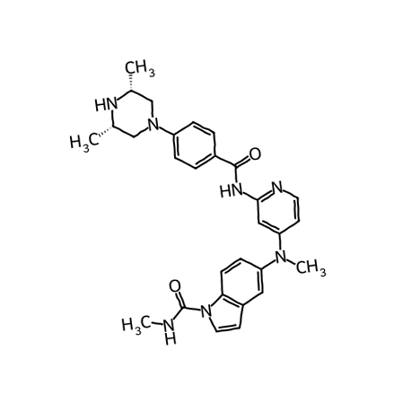 CNC(=O)n1ccc2cc(N(C)c3ccnc(NC(=O)c4ccc(N5C[C@@H](C)N[C@@H](C)C5)cc4)c3)ccc21